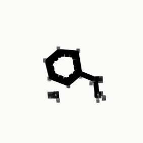 Cl.FC(F)(F)Nc1ccccc1